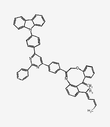 C=C1c2ccccc2OC/C(c2ccc(-c3cc(-c4ccc(-n5c6ccccc6c6ccccc65)cc4)nc(-c4ccccc4)n3)cc2)=N\c2cccc(/C(C)=C/C=C\C)c21